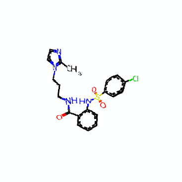 Cc1nccn1CCCNC(=O)c1ccccc1NS(=O)(=O)c1ccc(Cl)cc1